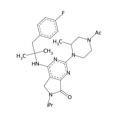 CC(=O)N1CCN(c2nc(NC(C)(C)Cc3ccc(F)cc3)c3c(n2)C(=O)N(C(C)C)C3)C(C)C1